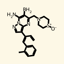 Bc1c(CN2CC[S+]([O-])CC2)nc2c(/C(C=C)=C/c3ccccc3C)cnn2c1N